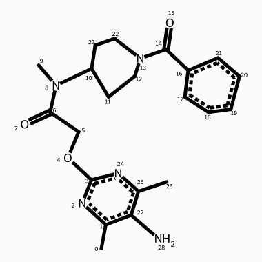 Cc1nc(OCC(=O)N(C)C2CCN(C(=O)c3ccccc3)CC2)nc(C)c1N